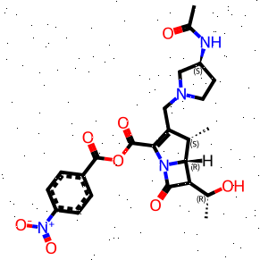 CC(=O)N[C@H]1CCN(CC2=C(C(=O)OC(=O)c3ccc([N+](=O)[O-])cc3)N3C(=O)C([C@@H](C)O)[C@H]3[C@H]2C)C1